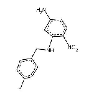 Nc1ccc([N+](=O)[O-])c(NCc2ccc(F)cc2)c1